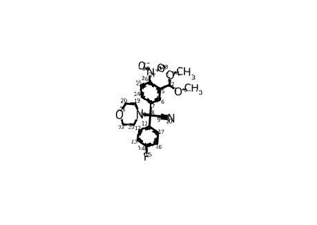 COC(OC)c1cc(C(C#N)(c2ccc(F)cc2)N2CCOCC2)ccc1[N+](=O)[O-]